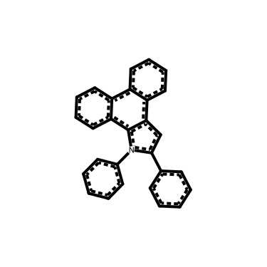 c1ccc(-c2cc3c4ccccc4c4ccccc4c3n2-c2ccccc2)cc1